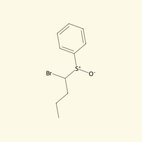 CCCC(Br)[S+]([O-])c1ccccc1